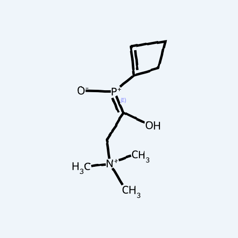 C[N+](C)(C)C/C(O)=[P+](\[O-])C1=CCC1